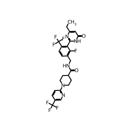 CCc1cc(=O)[nH]c(-c2c(C(F)(F)F)ccc(CNC(=O)C3CCN(c4ccc(C(F)(F)F)cn4)CC3)c2F)n1